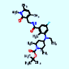 CCN(c1cc(F)cc(C(=O)NCc2c(C)cc(C)n(C)c2=O)c1C)C1CC(C)N(C(=O)OC(C)(C)C)[C@H](C)C1